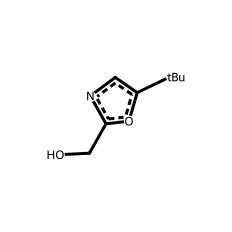 CC(C)(C)c1cnc(CO)o1